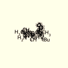 C#C[C@@]1(F)[C@H](O)[C@@H](COP(=S)(N[C@H](C)C(=O)OCC(C)(C)C)Oc2cccc3ccccc23)O[C@H]1n1cnc2c(N(C)C)nc(N)nc21